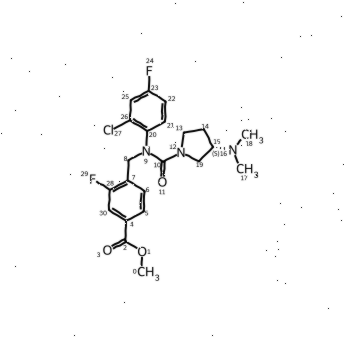 COC(=O)c1ccc(CN(C(=O)N2CC[C@H](N(C)C)C2)c2ccc(F)cc2Cl)c(F)c1